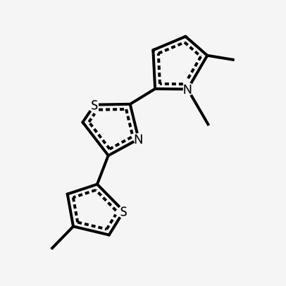 Cc1csc(-c2csc(-c3ccc(C)n3C)n2)c1